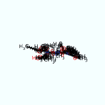 CCCCCCCCCCCOC(=O)CCCC(CN(CCCC(=O)OCCN1CC(C)N(CCOC(=O)CCCCN(CC(CCCCC(=O)OCC(CC)CC)O[Si](C)(C)C(C)(C)C)CC(CCCCC(=O)OCC(CC)CC)O[Si](C)(C)C(C)(C)C)CC1C)CC(CCCCCC(=O)O)O[Si](C)(C)C(C)(C)C)O[Si](C)(C)C(C)(C)C